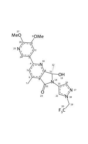 COc1cc(-c2cc(C)c3c(n2)[C@@](C)(O)N(c2cnn(CC(F)(F)F)c2)C3=O)cnc1OC